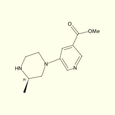 COC(=O)c1cncc(N2CCN[C@H](C)C2)c1